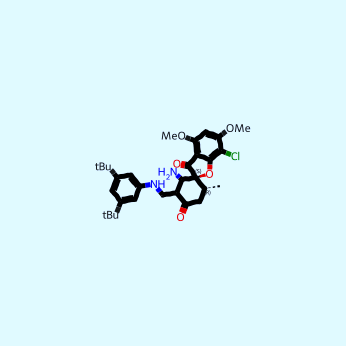 COc1cc(OC)c2c(c1Cl)O[C@]1(C2=O)C(N)C(CNc2cc(C(C)(C)C)cc(C(C)(C)C)c2)C(=O)C[C@H]1C